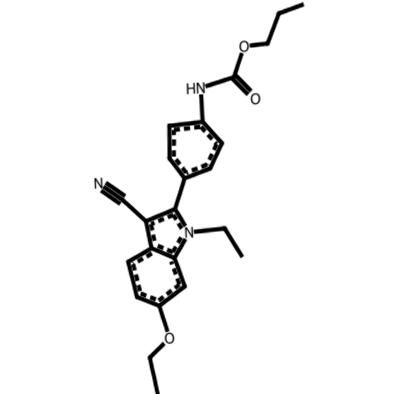 CCCOC(=O)Nc1ccc(-c2c(C#N)c3ccc(OCC)cc3n2CC)cc1